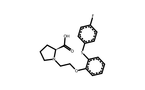 O=C(O)[C@@H]1CCCN1CCOc1ccccc1Sc1ccc(F)cc1